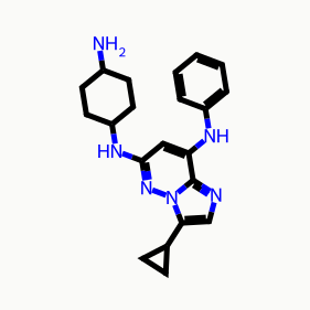 NC1CCC(Nc2cc(Nc3ccccc3)c3ncc(C4CC4)n3n2)CC1